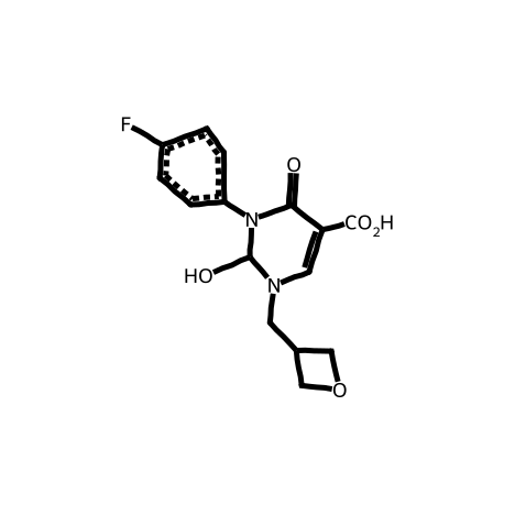 O=C(O)C1=CN(CC2COC2)C(O)N(c2ccc(F)cc2)C1=O